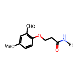 CCNC(=O)CCOc1ccc(OC)cc1C=O